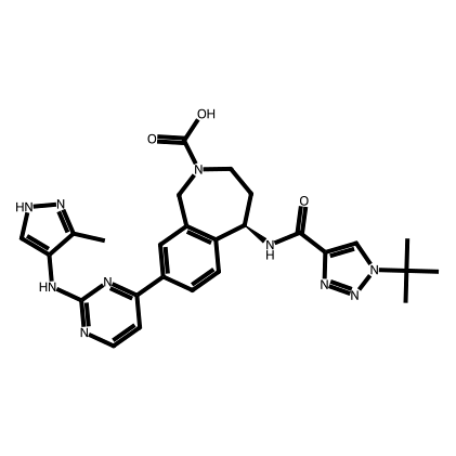 Cc1n[nH]cc1Nc1nccc(-c2ccc3c(c2)CN(C(=O)O)CC[C@H]3NC(=O)c2cn(C(C)(C)C)nn2)n1